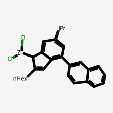 CCCCCCC1=Cc2c(-c3ccc4ccccc4c3)cc(C(C)C)cc2[CH]1[Zr]([Cl])[Cl]